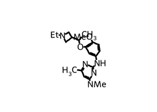 CCN1CC(C(C)Oc2cc(Nc3nc(C)cc(NC)n3)ccc2OC)C1